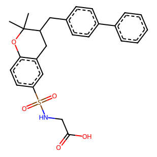 CC1(C)Oc2ccc(S(=O)(=O)NCC(=O)O)cc2CC1Cc1ccc(-c2ccccc2)cc1